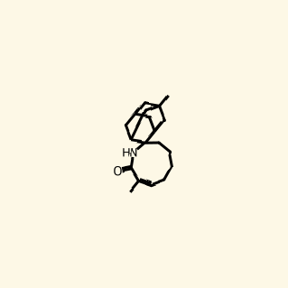 C/C1=C/CCCCC2(NC1=O)C1CC3CC2CC(C)(C3)C1